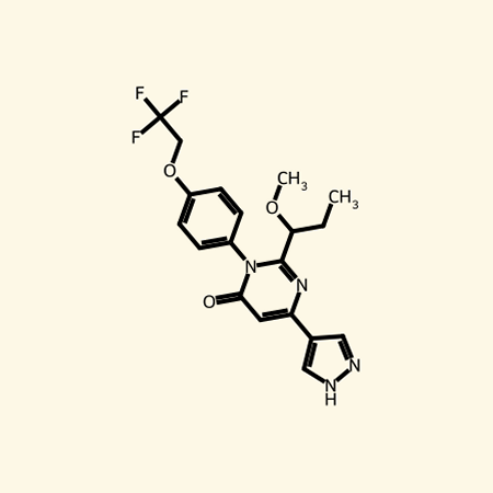 CCC(OC)c1nc(-c2cn[nH]c2)cc(=O)n1-c1ccc(OCC(F)(F)F)cc1